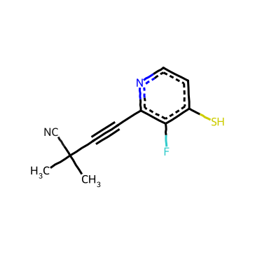 CC(C)(C#N)C#Cc1nccc(S)c1F